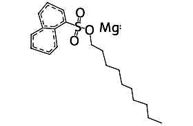 CCCCCCCCCCOS(=O)(=O)c1cccc2ccccc12.[Mg]